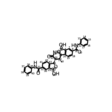 C[C@H](C1OB(O)c2cc(C(=O)Nc3ccccc3)ccc21)[C@H](C(N)=O)C1OB(O)c2cc(C(=O)Nc3ccccc3)ccc21